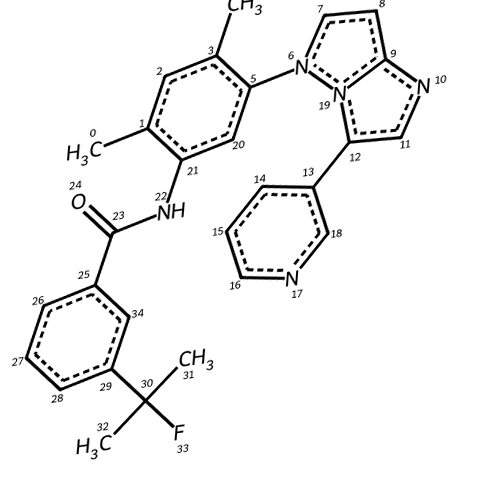 Cc1cc(C)c(-n2ccc3ncc(-c4cccnc4)n32)cc1NC(=O)c1cccc(C(C)(C)F)c1